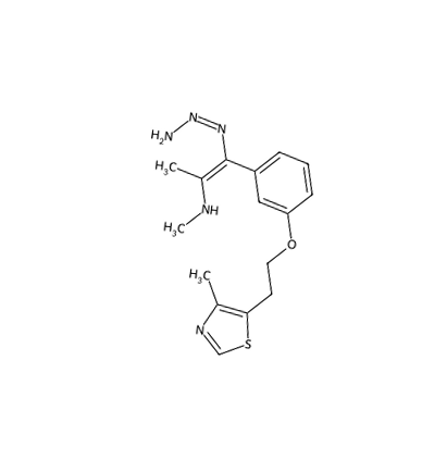 CN/C(C)=C(/N=N\N)c1cccc(OCCc2scnc2C)c1